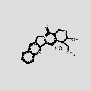 CC[C@@]1(O)c2cc3n(c(=O)c2CO[C@H]1O)Cc1cc2ccccc2nc1-3